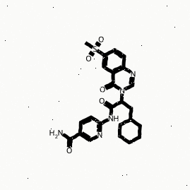 CS(=O)(=O)c1ccc2ncn(C(CC3CCCCC3)C(=O)Nc3ccc(C(N)=O)cn3)c(=O)c2c1